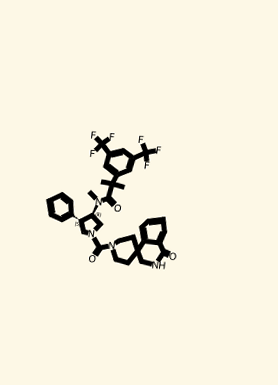 CN(C(=O)C(C)(C)c1cc(C(F)(F)F)cc(C(F)(F)F)c1)[C@H]1CN(C(=O)N2CCC3(CC2)CNC(=O)c2ccccc23)C[C@@H]1c1ccccc1